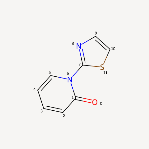 O=c1ccccn1-c1nccs1